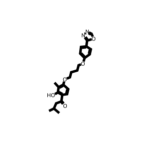 Cc1c(OCCCCOc2ccc(-c3nnco3)cc2)ccc(C(=O)CC(C)C)c1O